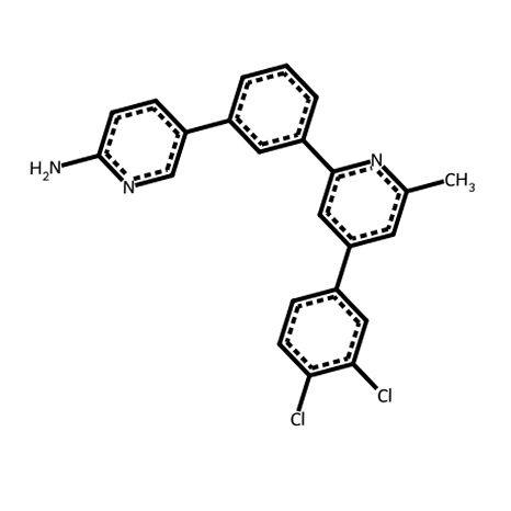 Cc1cc(-c2ccc(Cl)c(Cl)c2)cc(-c2cccc(-c3ccc(N)nc3)c2)n1